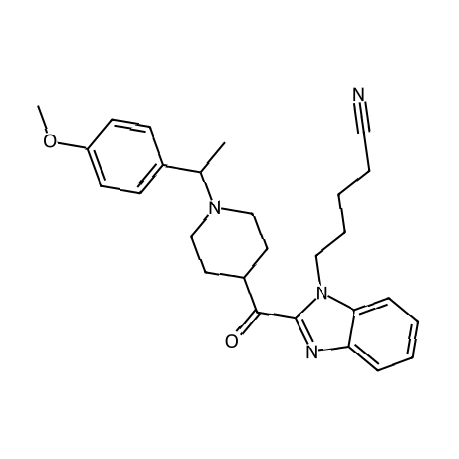 COc1ccc(C(C)N2CCC(C(=O)c3nc4ccccc4n3CCCCC#N)CC2)cc1